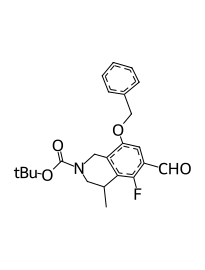 CC1CN(C(=O)OC(C)(C)C)Cc2c(OCc3ccccc3)cc(C=O)c(F)c21